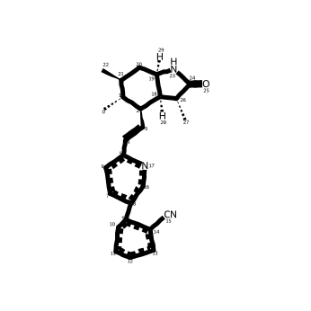 C[C@H]1[C@H](/C=C/c2ccc(-c3ccccc3C#N)cn2)[C@H]2[C@@H](C[C@@H]1C)NC(=O)[C@@H]2C